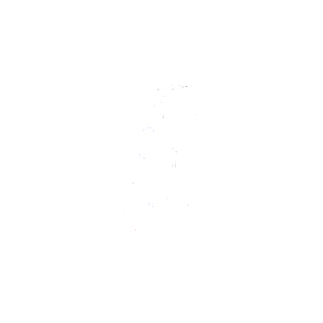 O=C(c1cnc(NC23CCC4CC(CC(C4)C2)C3)nc1C(F)(F)F)N1CCOCC1